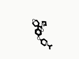 CC(C)N1CCC(Oc2ccc(C3(C(=O)N4CCC4)CCOCC3)cc2)CC1